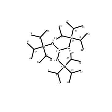 CC(C)[Si](OP(O[Si](C(C)C)(C(C)C)C(C)C)O[Si](C(C)C)(C(C)C)C(C)C)(C(C)C)C(C)C